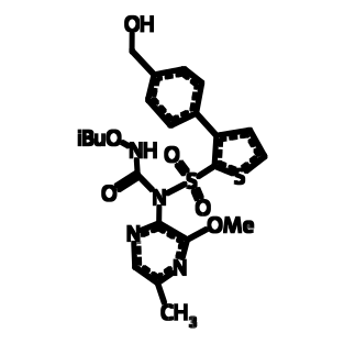 COc1nc(C)cnc1N(C(=O)NOCC(C)C)S(=O)(=O)c1sccc1-c1ccc(CO)cc1